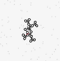 c1ccc(-c2ccccc2-c2cc(-c3cccc(-n4c5ccc(-n6c7ccccc7c7ccccc76)cc5c5cc(-n6c7ccccc7c7ccccc76)ccc54)c3)nc(-n3c4ccc(-n5c6ccccc6c6ccccc65)cc4c4cc(-n5c6ccccc6c6ccccc65)ccc43)n2)cc1